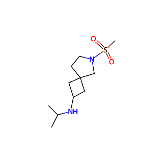 CC(C)NC1CC2(CCN(S(C)(=O)=O)C2)C1